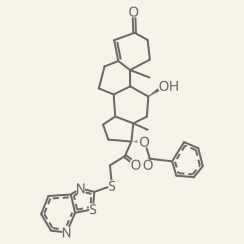 CC12CCC(=O)C=C1CCC1C2[C@@H](O)CC2(C)C1CC[C@]2(OC(=O)c1ccccc1)C(=O)CSc1nc2cccnc2s1